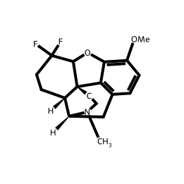 COc1ccc2c3c1OC1C(F)(F)CC[C@H]4[C@@H](C2)N(C)CC[C@]314